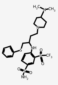 CN(C)C1CCN(CCC(CSc2ccccc2)Nc2ccc(S(N)(=O)=O)cc2S(=O)(=O)C(F)(F)F)CC1